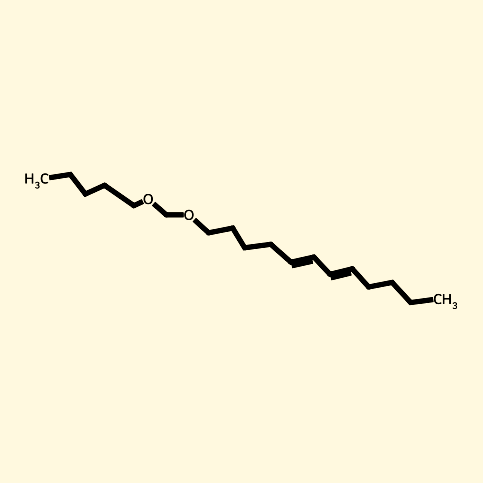 CCCCC=CC=CCCCCOCOCCCCC